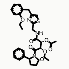 CCOc1ccccc1Cc1csc(CNC(=O)[C@H](OC(C)=O)[C@@H](OC(C)=O)C(=O)N2CCCC2c2ccccc2)n1